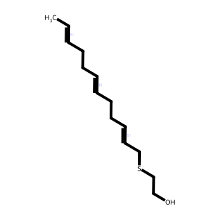 C/C=C/CC/C=C/CC/C=C/CSCCO